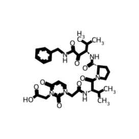 CC(C)[C@H](NC(=O)[C@@H]1CCCN1C(=O)[C@@H](NC(=O)Cn1ccc(=O)n(CC(=O)O)c1=O)C(C)C)C(=O)C(=O)NCc1ccccc1